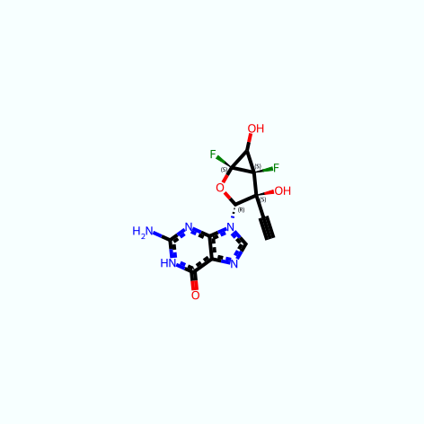 C#C[C@]1(O)[C@H](n2cnc3c(=O)[nH]c(N)nc32)O[C@]2(F)C(O)[C@@]21F